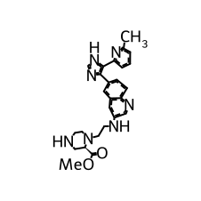 COC(=O)[C@H]1CNCCN1CCNc1cnc2ccc(-c3nc[nH]c3-c3cccc(C)n3)cc2c1